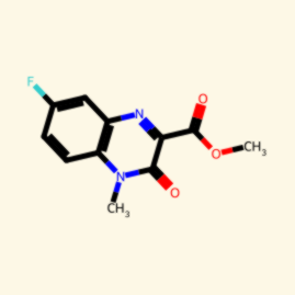 COC(=O)c1nc2cc(F)ccc2n(C)c1=O